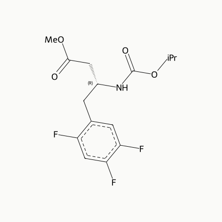 COC(=O)C[C@@H](Cc1cc(F)c(F)cc1F)NC(=O)OC(C)C